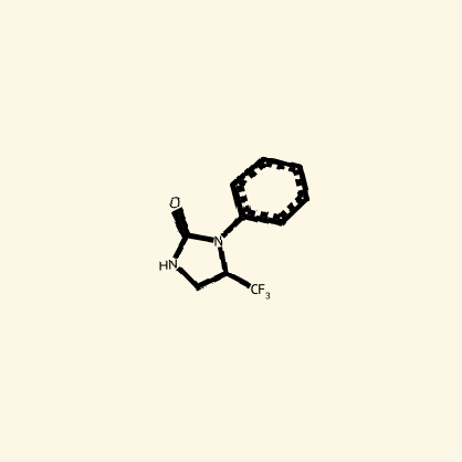 O=C1NCC(C(F)(F)F)N1c1ccccc1